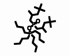 CCCCP(CCCC)(CCCC)(CCCC)OP(=O)(CC(C)CC(C)(C)C)CC(C)CC(C)(C)C